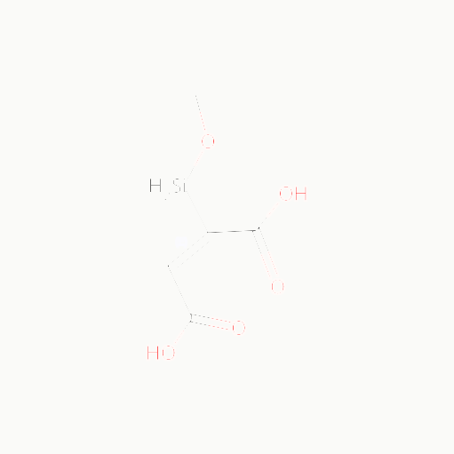 CO[SiH2]/C(=C/C(=O)O)C(=O)O